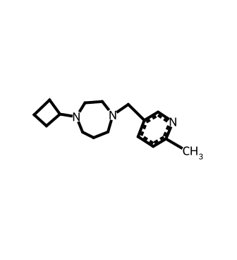 Cc1ccc(CN2CCCN(C3CCC3)CC2)cn1